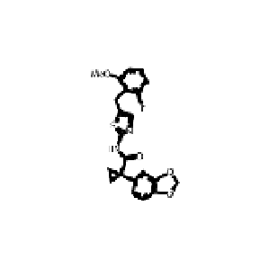 COc1cccc(F)c1Cc1cnc(NC(=O)C2(c3ccc4c(c3)OCO4)CC2)s1